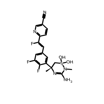 CN1C(N)=N[C@](C)(c2cc(/C=C(\F)c3ccc(C#N)cn3)cc(F)c2F)CS1(O)O